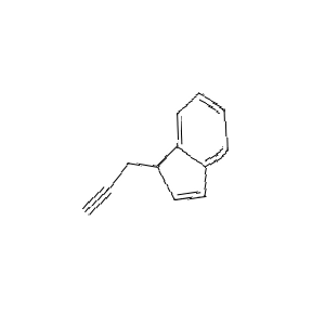 C#CCC1C=Cc2ccccc21